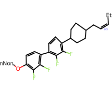 CC/C=C\CC1CCC(c2ccc(-c3ccc(OCCCCCCCCC)c(F)c3F)c(F)c2F)CC1